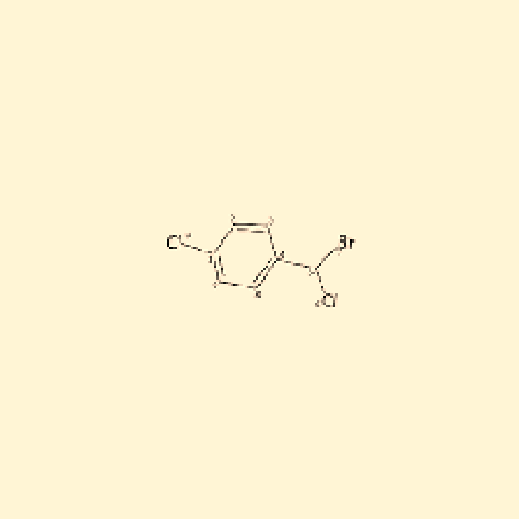 Clc1ccc(C(Cl)Br)cc1